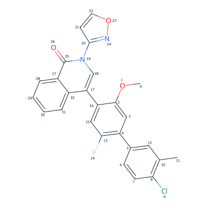 COc1cc(-c2ccc(Cl)c(C)c2)c(F)cc1-c1cn(-c2ccon2)c(=O)c2ccccc12